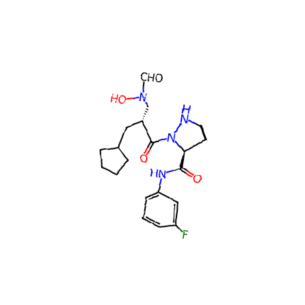 O=CN(O)C[C@@H](CC1CCCC1)C(=O)N1NCC[C@H]1C(=O)Nc1cccc(F)c1